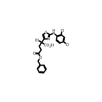 CCOC(=O)C(CC)(CCC(=O)OCc1ccccc1)c1csc(Nc2ccc(Cl)cc2Cl)n1